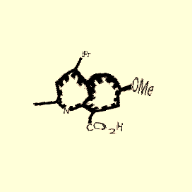 COc1cc(C(=O)O)c2nc(C)cc(C(C)C)c2c1